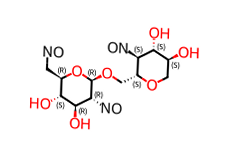 O=NC[C@H]1O[C@@H](OC[C@H]2OC[C@H](O)[C@@H](O)[C@@H]2N=O)[C@H](N=O)[C@@H](O)[C@@H]1O